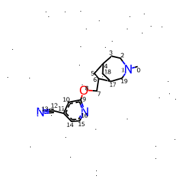 CN1CCC2CC(COc3cc(C#N)ccn3)C(C2)C1